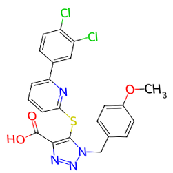 COc1ccc(Cn2nnc(C(=O)O)c2Sc2cccc(-c3ccc(Cl)c(Cl)c3)n2)cc1